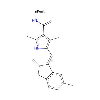 C=C1Cc2ccc(C)cc2/C1=C/c1[nH]c(C)c(C(=C)NCCCCC)c1C